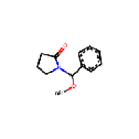 CCCOC(c1ccccc1)N1CCCC1=O